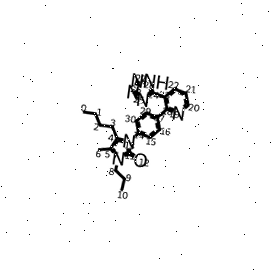 CCCCc1c(C)n(CCC)c(=O)n1-c1ccc(-c2ncccc2-c2nnn[nH]2)cc1